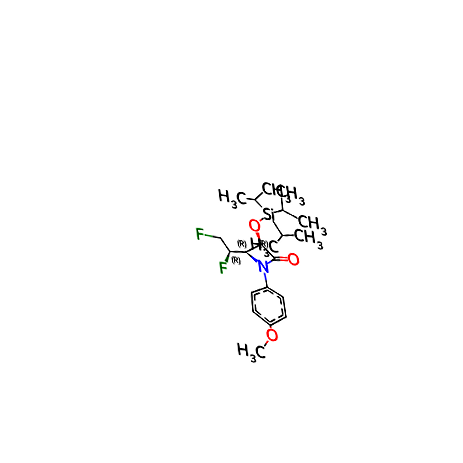 COc1ccc(N2C(=O)[C@H](O[Si](C(C)C)(C(C)C)C(C)C)[C@@H]2[C@@H](F)CF)cc1